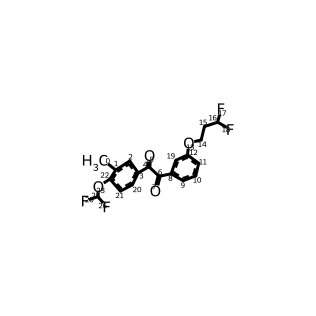 Cc1cc(C(=O)C(=O)c2cccc(OCCC(F)F)c2)ccc1OC(F)F